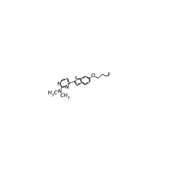 CN(C)c1nccc(-c2cc3ccc(OCCCF)cc3s2)n1